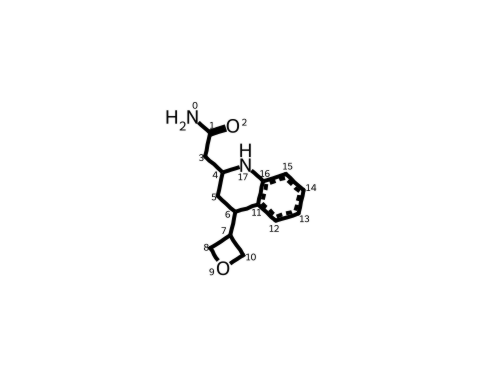 NC(=O)CC1CC(C2COC2)c2ccccc2N1